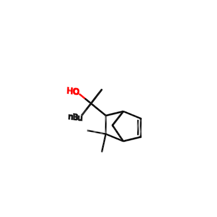 CCCCC(C)(O)C1C2C=CC(C2)C1(C)C